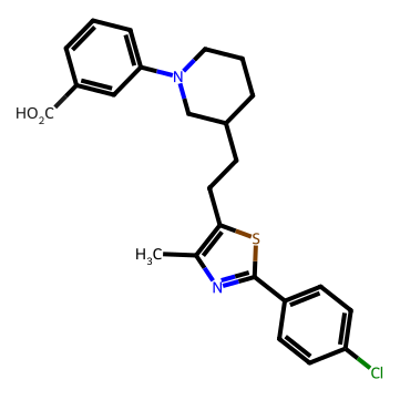 Cc1nc(-c2ccc(Cl)cc2)sc1CCC1CCCN(c2cccc(C(=O)O)c2)C1